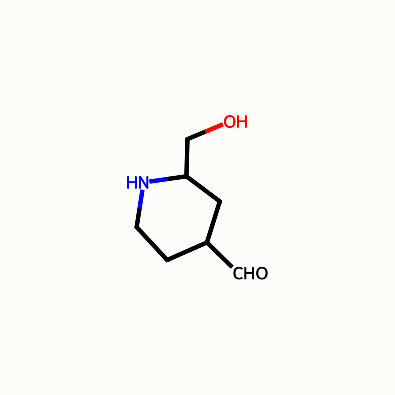 O=CC1CCNC(CO)C1